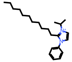 CCCCCCCCCCCc1n(-c2ccccc2)cc[n+]1C(C)C